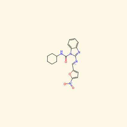 O=C(NC1CCCCC1)n1c(/N=C/c2ccc([N+](=O)[O-])o2)nc2ccccc21